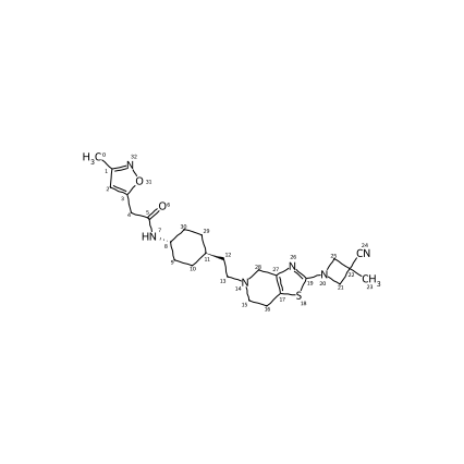 Cc1cc(CC(=O)N[C@H]2CC[C@H](CCN3CCc4sc(N5CC(C)(C#N)C5)nc4C3)CC2)on1